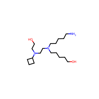 NCCCCCN(CCCCCO)CCN(CCO)C1CCC1